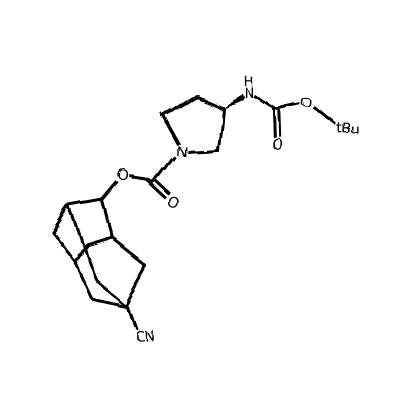 CC(C)(C)OC(=O)N[C@@H]1CCN(C(=O)OC2C3CC4CC2CC(C#N)(C4)C3)C1